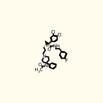 CC(=O)NC1(c2ccccc2)CCN(CCC[C@@H]2C[C@@]2(C(=O)NCCc2ccc(F)cc2)c2ccc(Cl)c(Cl)c2)CC1